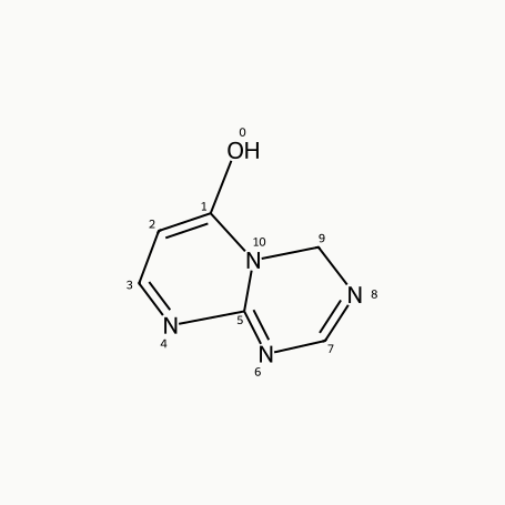 OC1=CC=NC2=NC=NCN12